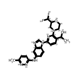 Cc1ccc(Nc2ccc3c(c2)ncn3-c2ccc(C(C)O)c(N3CCOC(C(F)F)C3)n2)nn1